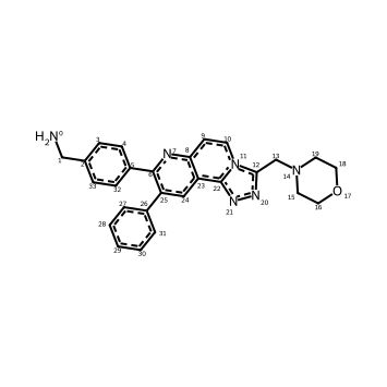 NCc1ccc(-c2nc3ccn4c(CN5CCOCC5)nnc4c3cc2-c2ccccc2)cc1